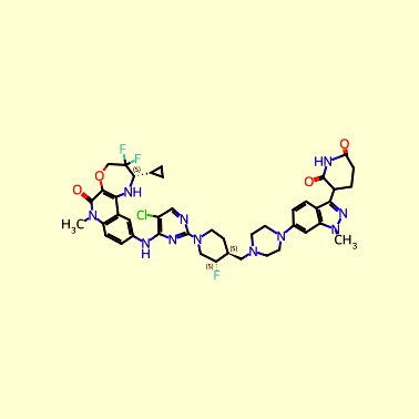 Cn1nc(C2CCC(=O)NC2=O)c2ccc(N3CCN(C[C@@H]4CCN(c5ncc(Cl)c(Nc6ccc7c(c6)c6c(c(=O)n7C)OCC(F)(F)[C@H](C7CC7)N6)n5)C[C@H]4F)CC3)cc21